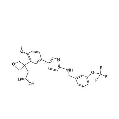 COc1ccc(-c2ccc(NCc3cccc(OC(F)(F)F)c3)nc2)cc1C1(CC(=O)O)COC1